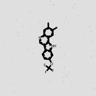 Cc1cc2ncc3c4ccc(OC(F)(F)F)cc4[nH]c3c2cc1C